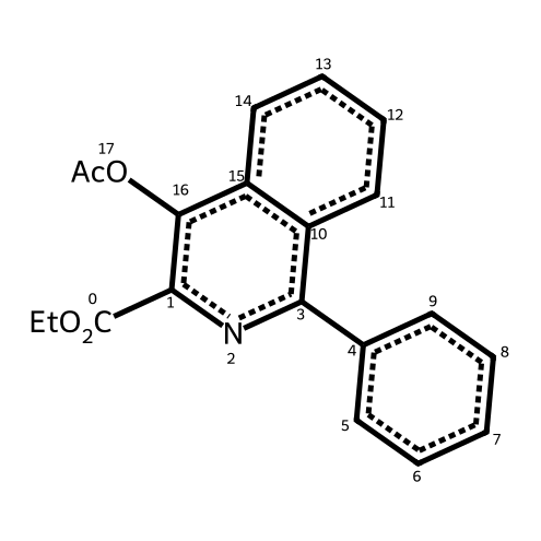 CCOC(=O)c1nc(-c2ccccc2)c2ccccc2c1OC(C)=O